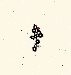 CCn1c(-c2cccc(-c3cc4c(c5ccccc35)-c3ccc5ccccc5c3C43c4ccccc4-c4ccccc43)c2)nc2ccccc21